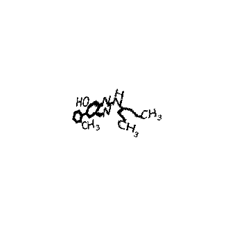 CCCC(CCC)Nc1ncc2cc(-c3ccccc3C)c(O)cc2n1